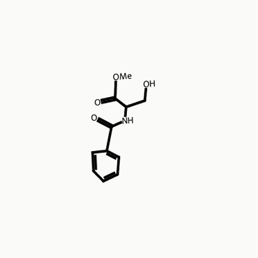 COC(=O)C(CO)NC(=O)c1ccccc1